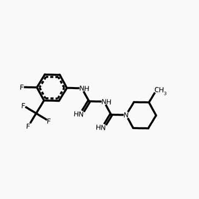 CC1CCCN(C(=N)NC(=N)Nc2ccc(F)c(C(F)(F)F)c2)C1